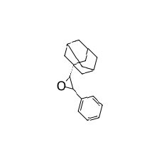 c1ccc(C2OC2C23CC4CC(CC(C4)C2)C3)cc1